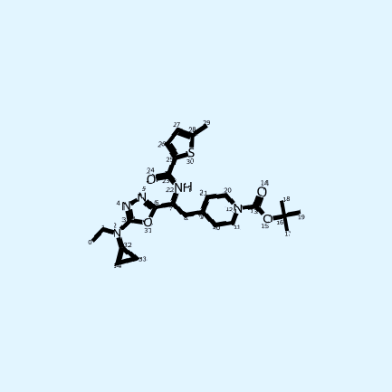 CCN(c1nnc(C(CC2CCN(C(=O)OC(C)(C)C)CC2)NC(=O)c2ccc(C)s2)o1)C1CC1